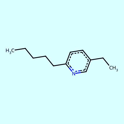 CCCCCc1ccc(CC)cn1